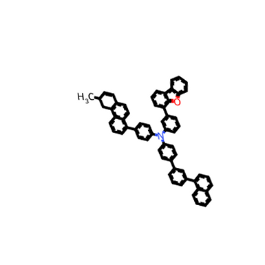 CC1C=Cc2ccc3c(-c4ccc(N(c5ccc(-c6cccc(-c7cccc8ccccc78)c6)cc5)c5cccc(-c6cccc7c6oc6ccccc67)c5)cc4)cccc3c2C1